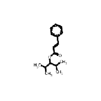 CC(C)C(OC(=O)/C=C/c1ccccc1)C(C)C